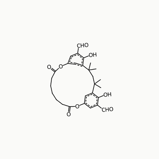 CC1(C)CC(C)(C)c2cc(cc(C=O)c2O)OC(=O)CCCCCC(=O)Oc2cc(C=O)c(O)c1c2